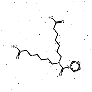 O=C(O)CCCCCCN(CCCCCCC(=O)O)C(=O)n1ccnc1